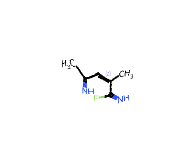 CC(=N)/C=C(/C)C(=N)F